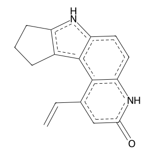 C=Cc1cc(=O)[nH]c2ccc3[nH]c4c(c3c12)CCC4